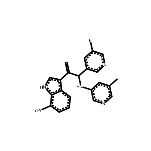 C=C(c1c[nH]c2c(CCC)cccc12)C(Nc1cncc(C)c1)c1cncc(F)c1